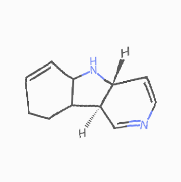 C1=CC2N[C@@H]3C=CN=C[C@H]3C2CC1